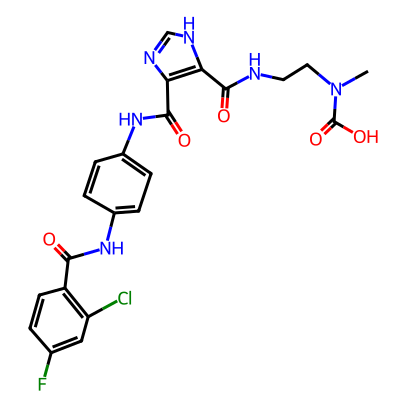 CN(CCNC(=O)c1[nH]cnc1C(=O)Nc1ccc(NC(=O)c2ccc(F)cc2Cl)cc1)C(=O)O